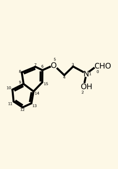 O=CN(O)CCOc1ccc2ccccc2c1